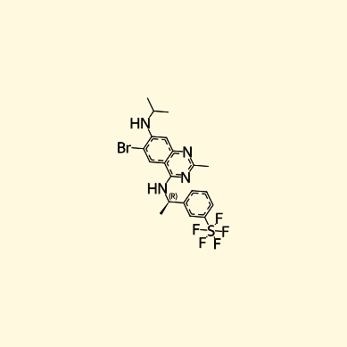 Cc1nc(N[C@H](C)c2cccc(S(F)(F)(F)(F)F)c2)c2cc(Br)c(NC(C)C)cc2n1